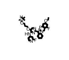 CCOc1cc(F)c(Cn2nc(-c3ncc(OCCCO[SiH](C)C(C)(C)C)c(Nc4ccnc(F)c4)n3)c3ccccc32)c(F)c1